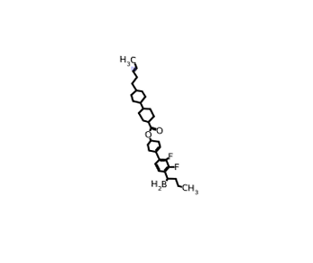 BC(CCC)c1ccc(C2=CCC(OC(=O)C3CCC(C4CCC(CC/C=C/C)CC4)CC3)CC2)c(F)c1F